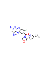 Cc1ncn2c1c(N)nc1cc(F)c(C(=O)N3CCOC[C@@H]3c3ccc(C(F)(F)F)cn3)cc12